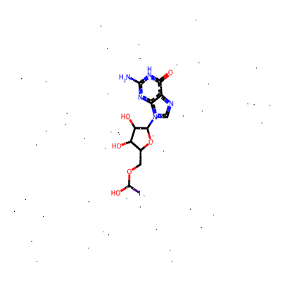 Nc1nc2c(ncn2C2OC(COC(O)I)C(O)C2O)c(=O)[nH]1